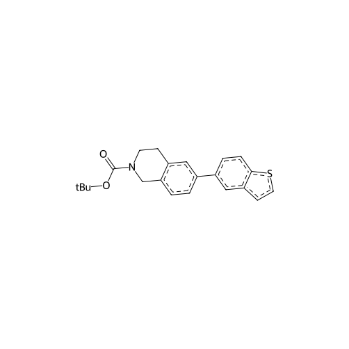 CC(C)(C)OC(=O)N1CCc2cc(-c3ccc4sccc4c3)ccc2C1